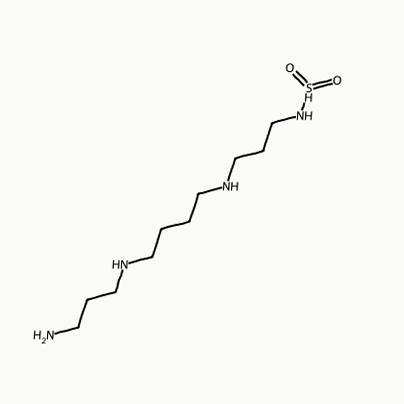 NCCCNCCCCNCCCN[SH](=O)=O